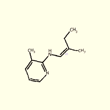 CC/C(C)=C\Nc1ncccc1C